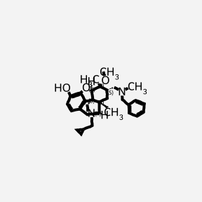 CC[C@]12C[C@@H](CN(C)Cc3ccccc3)[C@@](C)(OC)[C@@H]3Oc4c(O)ccc5c4[C@@]31CCN(CC1CC1)[C@@H]2C5